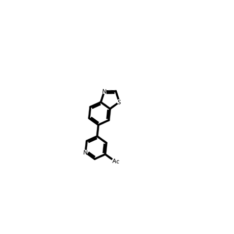 CC(=O)c1cncc(-c2ccc3ncsc3c2)c1